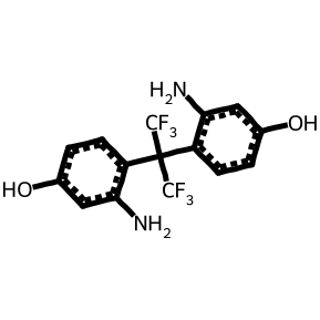 Nc1cc(O)ccc1C(c1ccc(O)cc1N)(C(F)(F)F)C(F)(F)F